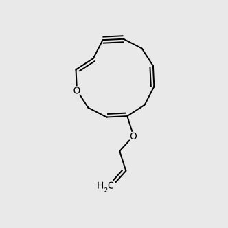 C=CCO/C1=C/CO/C=C/C#CCC=CC1